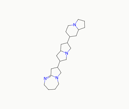 C1CCN2CC(C3CC4CC(C5CCN6CCCC6C5)CN4C3)CC2=NC1